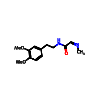 C/N=C\C(=O)NCCc1ccc(OC)c(OC)c1